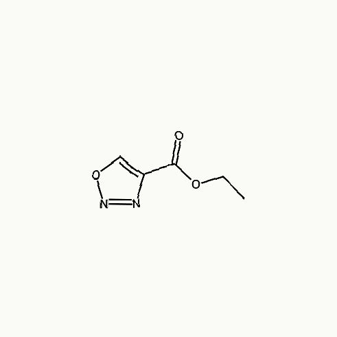 CCOC(=O)c1conn1